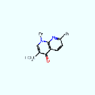 CCn1cc(C(=O)O)c(=O)c2ccc(C(C)C)nc21